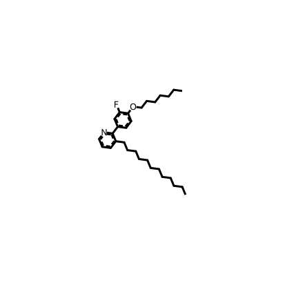 CCCCCCCCCCCCc1cccnc1-c1ccc(OCCCCCCC)c(F)c1